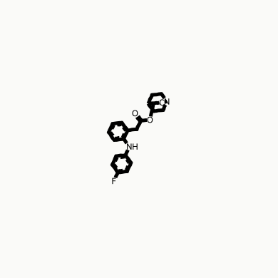 O=C(Cc1ccccc1Nc1ccc(F)cc1)OC1CN2CCC1CC2